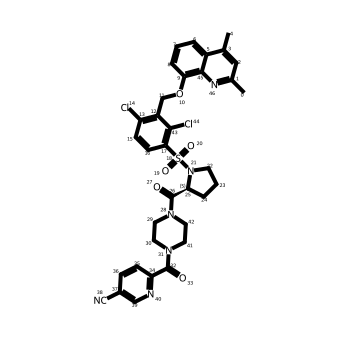 Cc1cc(C)c2cccc(OCc3c(Cl)ccc(S(=O)(=O)N4CCC[C@H]4C(=O)N4CCN(C(=O)c5ccc(C#N)cn5)CC4)c3Cl)c2n1